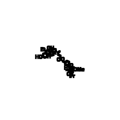 CC[C@@H]1C2C[C@H](O)CC[C@]2(C)[C@H]2CC[C@]3(C)[C@@H](C(C)CCC(=O)OCc4ccc(OP(=O)(COC)NC(C)C(=O)OC(C)C)cc4)CC[C@H]3[C@@H]2[C@@H]1O